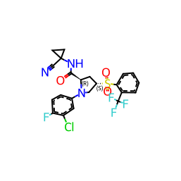 N#CC1(NC(=O)[C@H]2C[C@H](S(=O)(=O)c3ccccc3C(F)(F)F)CN2c2ccc(F)c(Cl)c2)CC1